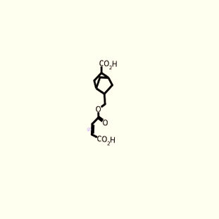 O=C(O)/C=C\C(=O)OCC1CC2CC1CC2C(=O)O